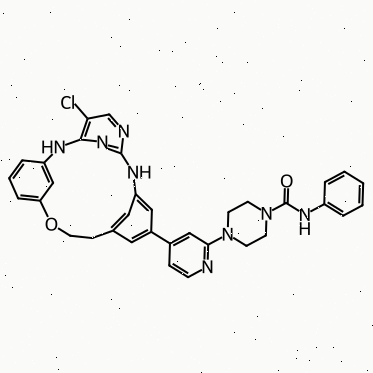 O=C(Nc1ccccc1)N1CCN(c2cc(-c3cc4cc(c3)Nc3ncc(Cl)c(n3)Nc3cccc(c3)OCC4)ccn2)CC1